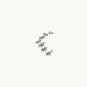 [Cr+3].[Mg+2].[OH-].[OH-].[OH-].[OH-].[OH-]